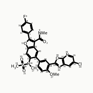 CNC(=O)c1c(-c2ccc(F)cc2)oc2cc(N(C)S(C)(=O)=O)c(-c3ccc(OC)c(-c4nc5cc(Cl)cnc5o4)c3)cc12